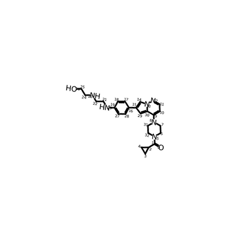 O=C(C1CC1)N1CCN(c2ccnn3cc(-c4ccc(NCCNCCO)cc4)cc23)CC1